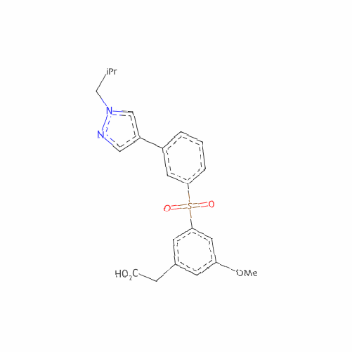 COc1cc(CC(=O)O)cc(S(=O)(=O)c2cccc(-c3cnn(CC(C)C)c3)c2)c1